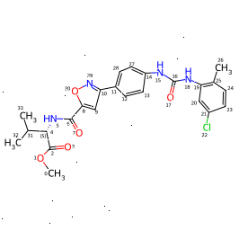 COC(=O)[C@@H](NC(=O)c1cc(-c2ccc(NC(=O)Nc3cc(Cl)ccc3C)cc2)no1)C(C)C